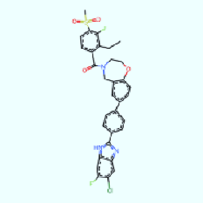 CCc1c(C(=O)N2CCOc3ccc(-c4ccc(-c5nc6cc(Cl)c(F)cc6[nH]5)cc4)cc3C2)ccc(S(C)(=O)=O)c1F